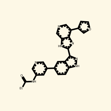 CCC(=O)Nc1cncc(-c2ccc3[nH]nc(-c4nc5c(-c6ccoc6)cncc5[nH]4)c3c2)c1